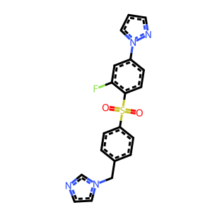 O=S(=O)(c1ccc(Cn2ccnc2)cc1)c1ccc(-n2cccn2)cc1F